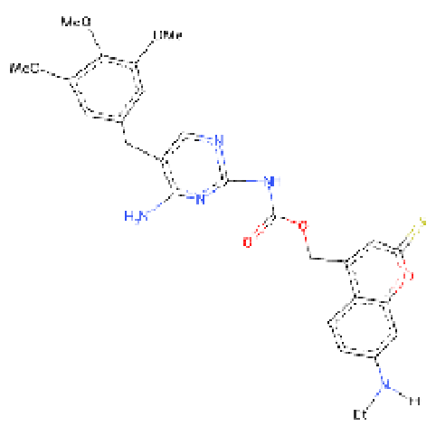 CCN(CC)c1ccc2c(COC(=O)Nc3ncc(Cc4cc(OC)c(OC)c(OC)c4)c(N)n3)cc(=S)oc2c1